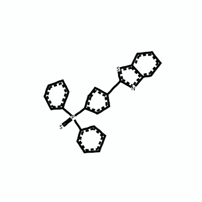 S=P(c1ccccc1)(c1ccccc1)c1ccc(-c2nc3ccccc3s2)cc1